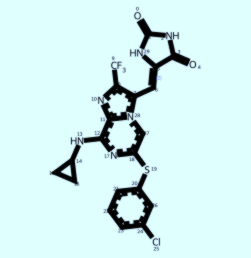 O=C1NC(=O)/C(=C/c2c(C(F)(F)F)nc3c(NC4CC4)nc(Sc4cccc(Cl)c4)cn23)N1